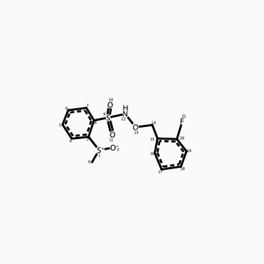 C[S+]([O-])c1ccccc1S(=O)(=O)NOCc1ccccc1F